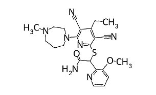 CCc1c(C#N)c(SC(C(N)=O)c2ncccc2OC)nc(N2CCCN(C)CC2)c1C#N